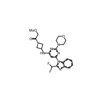 COCC(=O)N1CC(Nc2cc(-n3c(C(F)F)nc4ccccc43)nc(N3CCOCC3)n2)C1